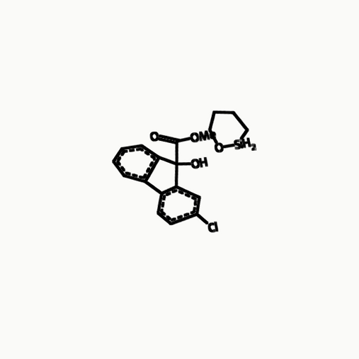 C1CC[SiH2]OC1.COC(=O)C1(O)c2ccccc2-c2ccc(Cl)cc21